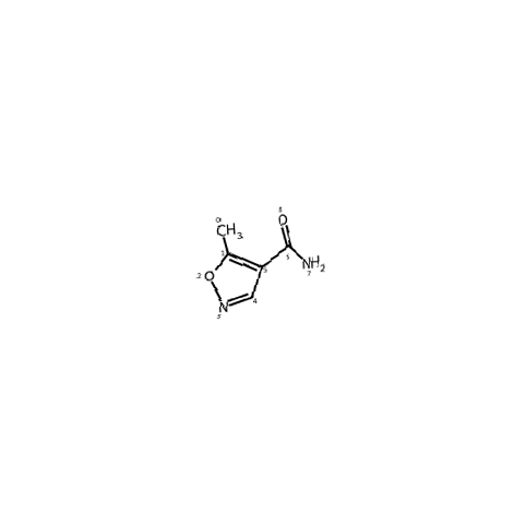 Cc1oncc1C(N)=O